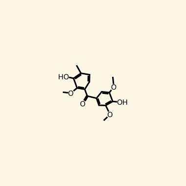 COc1cc(C(=O)c2ccc(C)c(O)c2OC)cc(OC)c1O